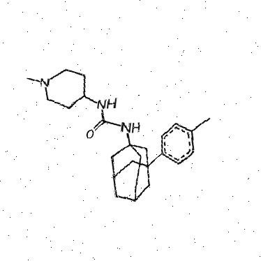 Cc1ccc(C23CC4CC(CC(NC(=O)NC5CCN(C)CC5)(C4)C2)C3)cc1